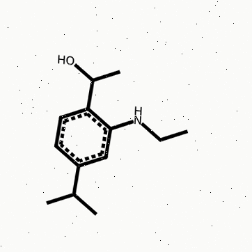 CCNc1cc(C(C)C)ccc1C(C)O